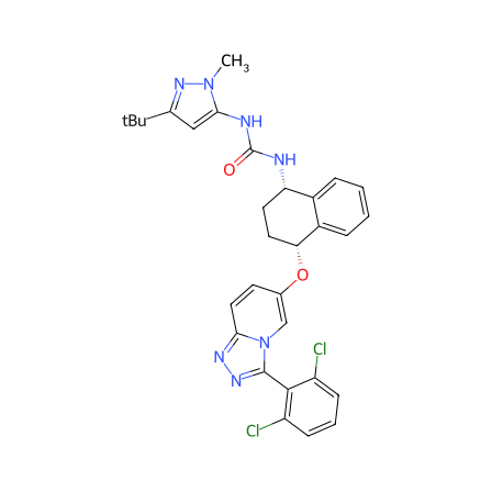 Cn1nc(C(C)(C)C)cc1NC(=O)N[C@H]1CC[C@@H](Oc2ccc3nnc(-c4c(Cl)cccc4Cl)n3c2)c2ccccc21